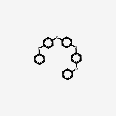 c1ccc(Oc2ccc(Oc3ccc(Sc4ccc(Oc5ccccc5)cc4)cc3)cc2)cc1